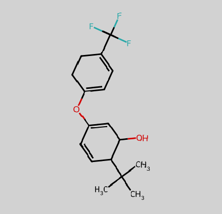 CC(C)(C)C1C=CC(OC2=CC=C(C(F)(F)F)CC2)=CC1O